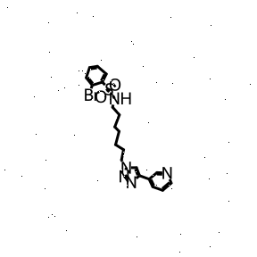 O=S(=O)(NCCCCCCCn1cc(-c2cccnc2)nn1)c1ccccc1Br